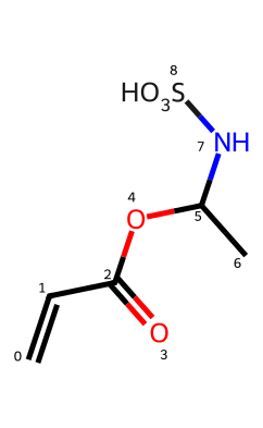 C=CC(=O)OC(C)NS(=O)(=O)O